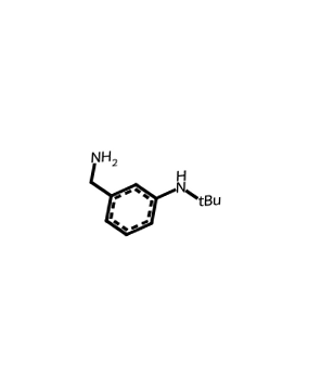 CC(C)(C)Nc1cccc(CN)c1